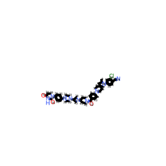 CC1CC2(CCN(c3ccc(C(=O)N4CCC(N5CC(N6CCN(c7ccc(N8CCC(=O)NC8=O)cc7)CC6)C5)CC4)cc3)CC2)CN1c1ccc(C#N)c(Cl)c1